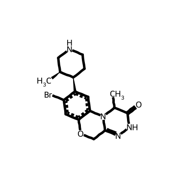 CC1C(=O)NN=C2COc3cc(Br)c([C@@H]4CCNC[C@@H]4C)cc3N21